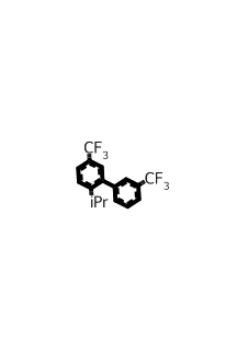 CC(C)c1ccc(C(F)(F)F)cc1-c1cccc(C(F)(F)F)c1